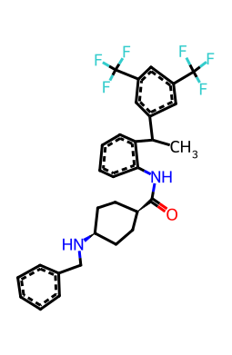 CC(c1cc(C(F)(F)F)cc(C(F)(F)F)c1)c1ccccc1NC(=O)[C@H]1CC[C@@H](NCc2ccccc2)CC1